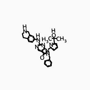 CC(C)(O)c1cccc(-n2c3nc(Nc4ccc5c(c4)CNCC5)ncc3c(=O)n2Cc2ccccc2)n1